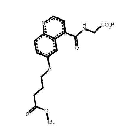 CC(C)(C)OC(=O)CCCOc1ccc2nccc(C(=O)NCC(=O)O)c2c1